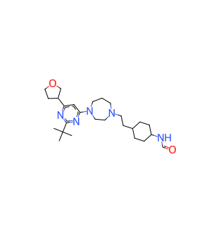 CC(C)(C)c1nc(C2CCOC2)cc(N2CCCN(CCC3CCC(NC=O)CC3)CC2)n1